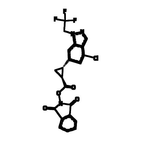 O=C(ON1C(=O)c2ccccc2C1=O)[C@H]1C[C@@H]1c1cc(Cl)c2cnn(CC(F)(F)F)c2c1